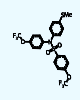 CSc1ccc(N(c2ccc(OC(F)(F)F)cc2)S(=O)(=O)c2ccc(OC(F)(F)F)cc2)cc1